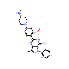 CNC1CCN(c2ccc(-c3nc4c(C)nn(-c5ccccc5)c4c(=O)[nH]3)c(OC)c2)CC1